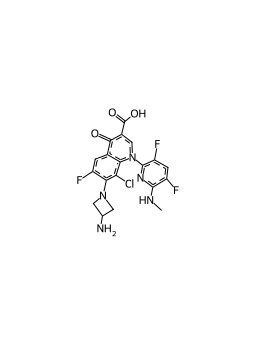 CNc1nc(-n2cc(C(=O)O)c(=O)c3cc(F)c(N4CC(N)C4)c(Cl)c32)c(F)cc1F